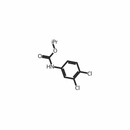 CC(C)OC(=O)Nc1ccc(Cl)c(Cl)c1